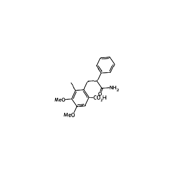 COc1cc(C(=O)O)c(CC(C(N)=O)c2ccccc2)c(C)c1OC